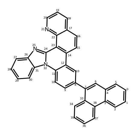 c1ccc2c(c1)cc(-c1ccc3c(c1)c1ccc4cccnc4c1c1nc4ccccc4n31)c1ccccc12